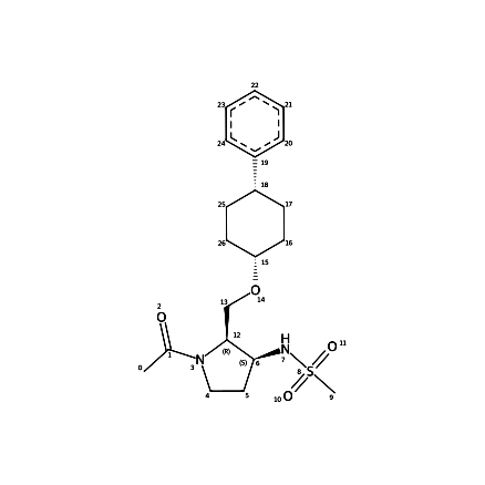 CC(=O)N1CC[C@H](NS(C)(=O)=O)[C@@H]1CO[C@H]1CC[C@@H](c2ccccc2)CC1